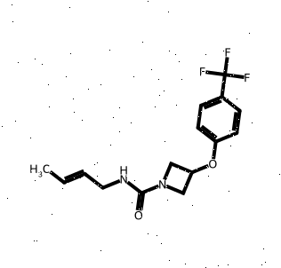 CC=CCNC(=O)N1CC(Oc2ccc(C(F)(F)F)cc2)C1